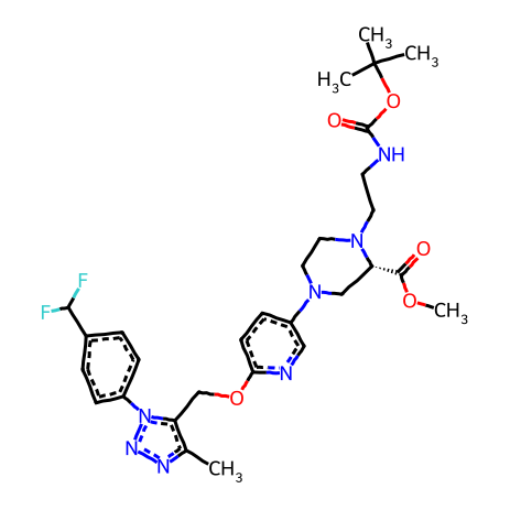 COC(=O)[C@@H]1CN(c2ccc(OCc3c(C)nnn3-c3ccc(C(F)F)cc3)nc2)CCN1CCNC(=O)OC(C)(C)C